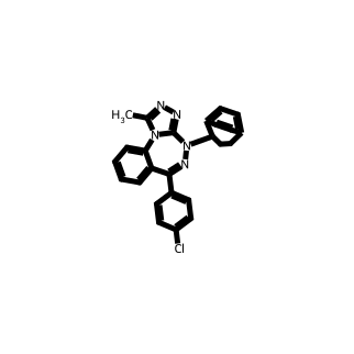 Cc1nnc2n1-c1ccccc1C(c1ccc(Cl)cc1)=NN2C1CCc2ccc1cc2